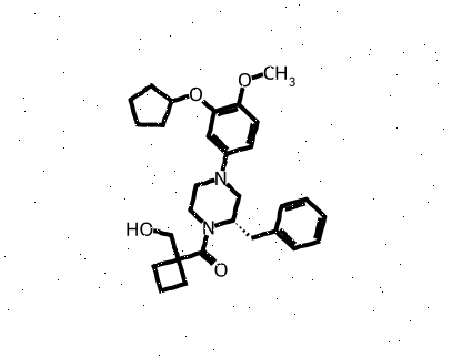 COc1ccc(N2CCN(C(=O)C3(CO)CCC3)[C@@H](Cc3ccccc3)C2)cc1OC1CCCC1